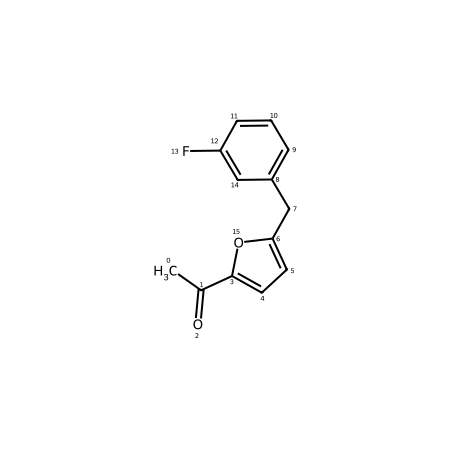 CC(=O)c1ccc(Cc2cccc(F)c2)o1